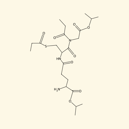 CCC(=O)SCC(NC(=O)CCC(N)C(=O)OC(C)C)C(=O)N(CC(=O)OC(C)C)C(=O)CC